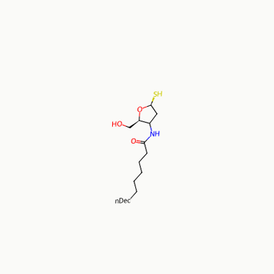 CCCCCCCCCCCCCCCC(=O)NC1C[C@H](S)O[C@@H]1CO